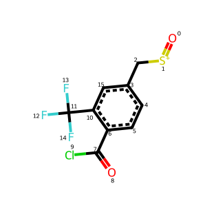 O=[S+]Cc1ccc(C(=O)Cl)c(C(F)(F)F)c1